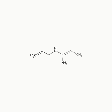 C=CCNC(N)=CC